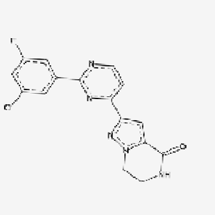 O=C1NCCn2nc(-c3ccnc(-c4cc(F)cc(Cl)c4)n3)cc21